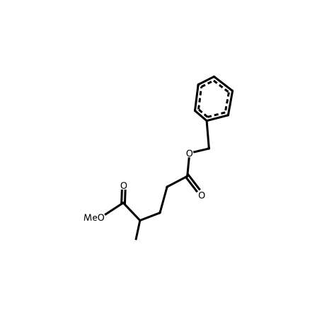 COC(=O)C(C)CCC(=O)OCc1ccccc1